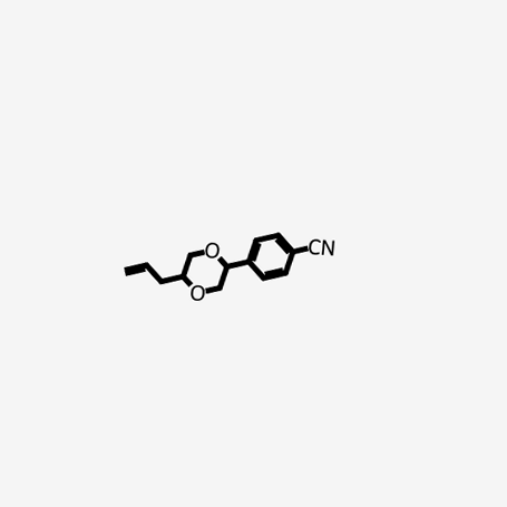 C=CCC1COC(c2ccc(C#N)cc2)CO1